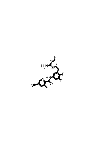 Cc1cc(C#N)cnc1C(=O)Nc1cc(F)c(F)c(C[C@@H](C)S/C(N)=N\CF)c1